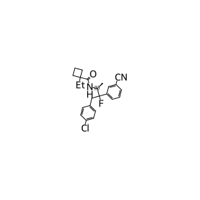 CCC1(C(=O)N[C@@H](C)C(F)(Cc2ccc(Cl)cc2)c2cccc(C#N)c2)CCC1